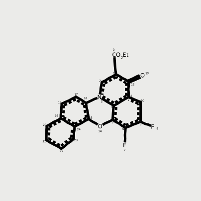 CCOC(=O)c1cn2c3c(c(F)c(F)cc3c1=O)Oc1c-2ccc2ccccc12